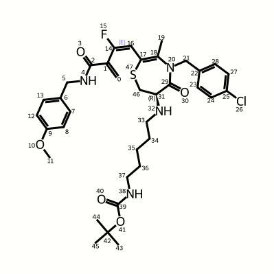 C=C(C(=O)NCc1ccc(OC)cc1)/C(F)=C\C1=C(C)N(Cc2ccc(Cl)cc2)C(=O)[C@@H](NCCCCCNC(=O)OC(C)(C)C)CS1